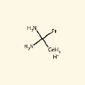 CC[C](N)(N)[GeH3].[H-]